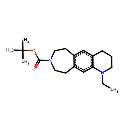 CCN1CCCc2cc3c(cc21)CCN(C(=O)OC(C)(C)C)CC3